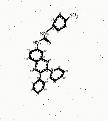 O=[N+]([O-])c1ccc(NC(=S)Nc2ccc3nc(-c4ccccc4)c(-c4ccccc4)nc3c2)cc1